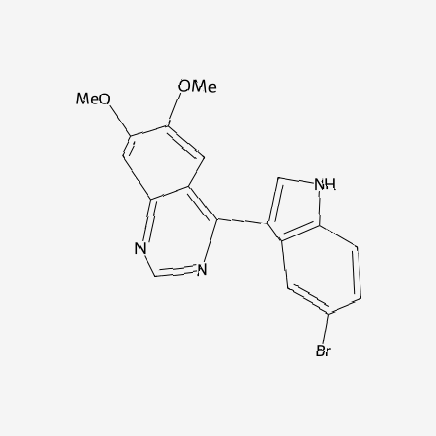 COc1cc2ncnc(-c3c[nH]c4ccc(Br)cc34)c2cc1OC